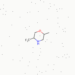 CC1CNC(C(F)(F)F)CO1